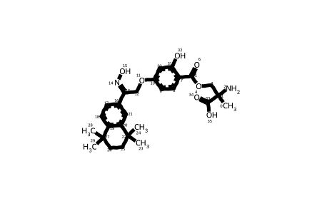 CC(N)(COC(=O)c1ccc(OCC(=NO)c2ccc3c(c2)C(C)(C)CCC3(C)C)cc1O)C(=O)O